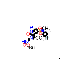 CN(c1ccc(F)cc1)S(=O)(=O)c1ccc2[nH]c(=O)c3c(c(C(=O)O)cn3CCNC(=O)OC(C)(C)C)c2c1